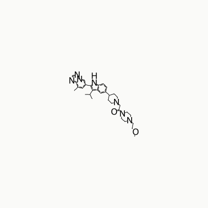 COCCN1CCN(C(=O)CN2CCC(c3ccc4[nH]c(-c5cc(C)c6ncnn6c5)c(C(C)C)c4c3)CC2)CC1